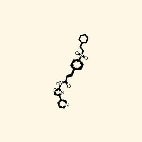 O=C(/C=C/c1ccc(S(=O)(=O)CCC2CCCCC2)cc1)Nc1nc(-c2cccnc2)cs1